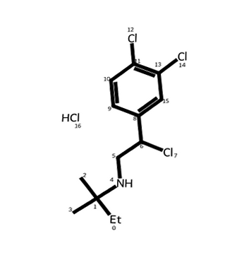 CCC(C)(C)NCC(Cl)c1ccc(Cl)c(Cl)c1.Cl